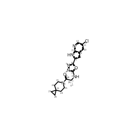 C[C@@H](Nc1nnc(-c2cc3cc(Cl)cnc3[nH]2)o1)C(=O)N1CCC2(CC1)CC2